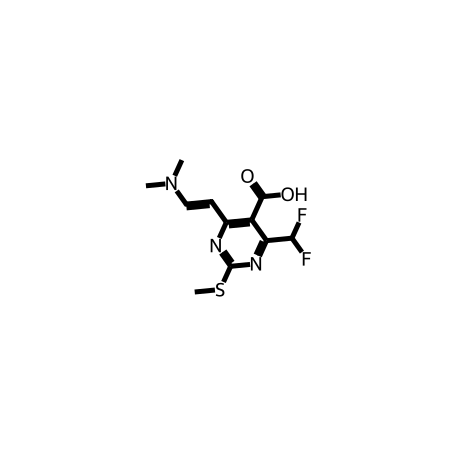 CSc1nc(C=CN(C)C)c(C(=O)O)c(C(F)F)n1